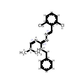 CN(C)\C=N/C(=N\N=C\c1c(Cl)cccc1Cl)NCc1ccccc1